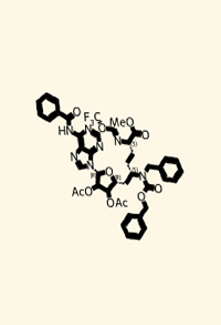 COC(=O)[C@H](CC[C@@H](C[C@H]1O[C@@H](n2cnc3c(NC(=O)c4ccccc4)ncnc32)C(OC(C)=O)C1OC(C)=O)N(Cc1ccccc1)C(=O)OCc1ccccc1)N=COC(F)(F)F